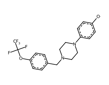 [O]c1ccc(N2CCN(Cc3ccc(OC(F)(F)C(F)(F)F)cc3)CC2)cc1